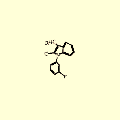 O=Cc1c(Cl)n(-c2cccc(F)c2)c2ccccc12